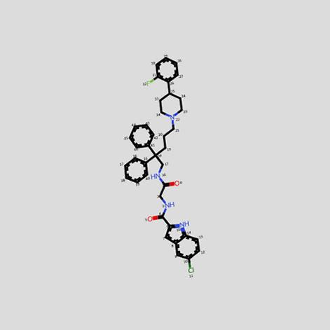 O=C(CNC(=O)c1cc2cc(Cl)ccc2[nH]1)NCC(CCCN1CCC(c2ccccc2F)CC1)(c1ccccc1)c1ccccc1